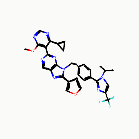 COc1ncnc(C2CC2)c1-c1ncc2nc(-c3ccoc3)n(Cc3ccc(-c4nc(C(F)(F)F)cn4C(C)C)cc3)c2n1